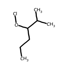 CCCC(OCl)C(C)C